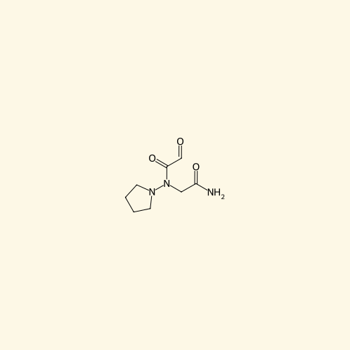 NC(=O)CN(C(=O)C=O)N1CCCC1